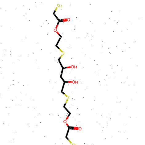 O=C(CS)OCCSCC(O)CC(O)CSCCOC(=O)CS